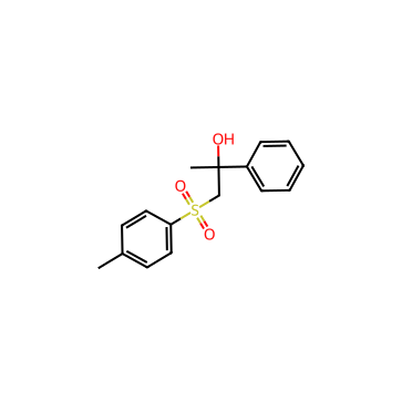 Cc1ccc(S(=O)(=O)CC(C)(O)c2ccccc2)cc1